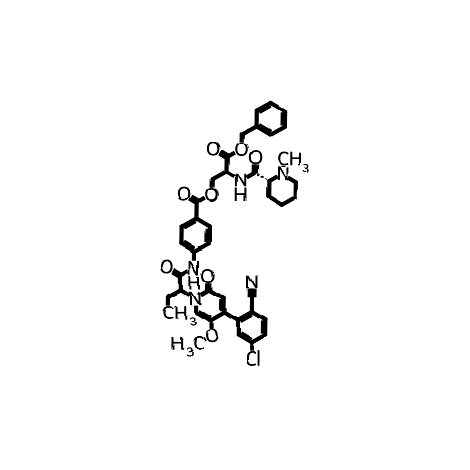 CCC(C(=O)Nc1ccc(C(=O)OCC(NC(=O)[C@H]2CCCCN2C)C(=O)OCc2ccccc2)cc1)n1cc(OC)c(-c2cc(Cl)ccc2C#N)cc1=O